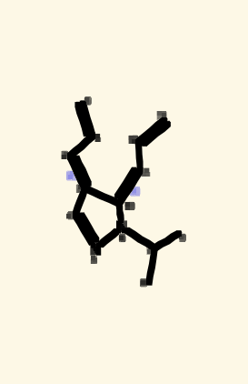 C=C/C=c1/cnn(C(C)C)/c1=C/C=C